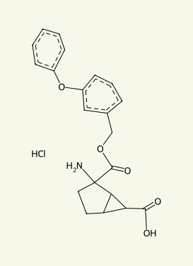 Cl.NC1(C(=O)OCc2cccc(Oc3ccccc3)c2)CCC2C(C(=O)O)C21